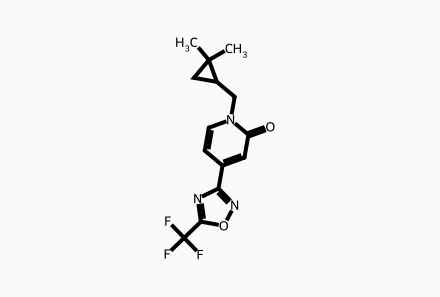 CC1(C)CC1Cn1ccc(-c2noc(C(F)(F)F)n2)cc1=O